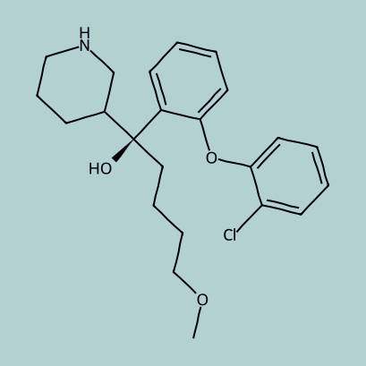 COCCCC[C@@](O)(c1ccccc1Oc1ccccc1Cl)C1CCCNC1